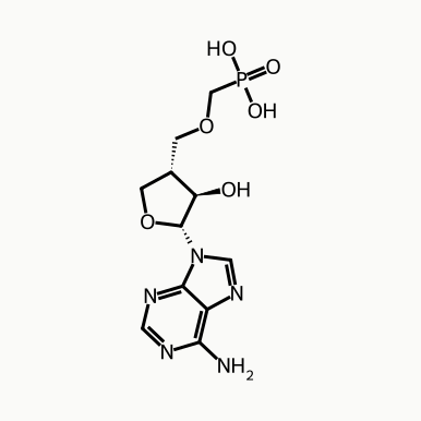 Nc1ncnc2c1ncn2[C@@H]1OC[C@H](COCP(=O)(O)O)[C@H]1O